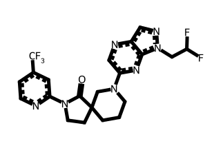 O=C1N(c2cc(C(F)(F)F)ccn2)CCC12CCCN(c1cnc3cnn(CC(F)F)c3n1)C2